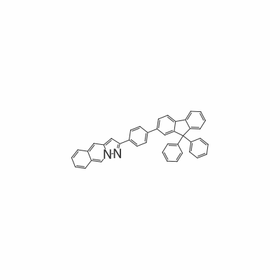 c1ccc(C2(c3ccccc3)c3ccccc3-c3ccc(-c4ccc(-c5cc6cc7ccccc7cn6n5)cc4)cc32)cc1